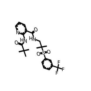 CC(C)(C)C(=O)Nc1ncccc1C(=O)NCC(C)(C)S(=O)(=O)c1cccc(C(F)(F)F)c1